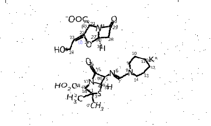 CC1(C)S[C@@H]2[C@H](N=CN3CCCCCC3)C(=O)N2[C@H]1C(=O)O.O=C([O-])[C@H]1/C(=C/CO)O[C@@H]2CC(=O)N21.[K+]